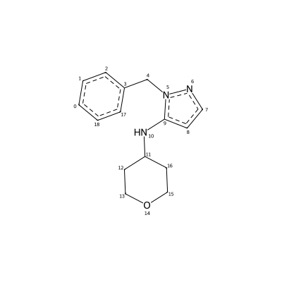 c1ccc(Cn2nccc2NC2CCOCC2)cc1